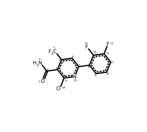 NC(=O)c1c(C(F)(F)F)cc(-c2cccc(F)c2F)nc1Cl